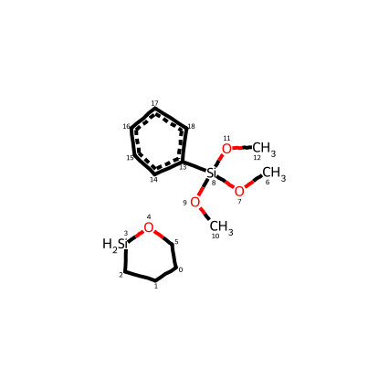 C1CC[SiH2]OC1.CO[Si](OC)(OC)c1ccccc1